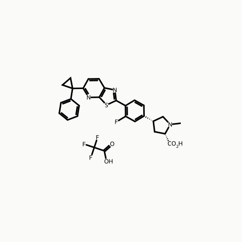 CN1C[C@@H](c2ccc(-c3nc4ccc(C5(c6ccccc6)CC5)nc4s3)c(F)c2)C[C@H]1C(=O)O.O=C(O)C(F)(F)F